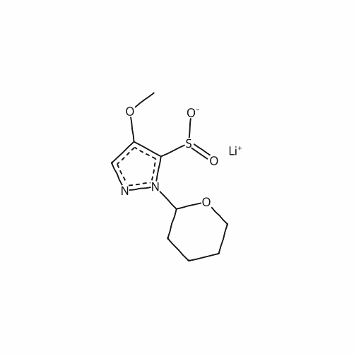 COc1cnn(C2CCCCO2)c1S(=O)[O-].[Li+]